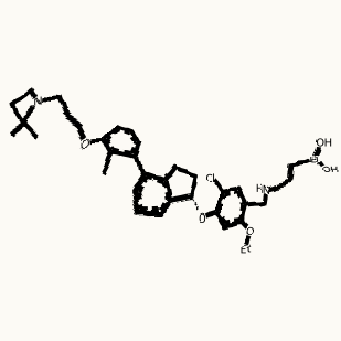 CCOc1cc(O[C@H]2CCc3c(-c4cccc(OCCCN5CCC5(C)C)c4C)cccc32)c(Cl)cc1CNCCB(O)O